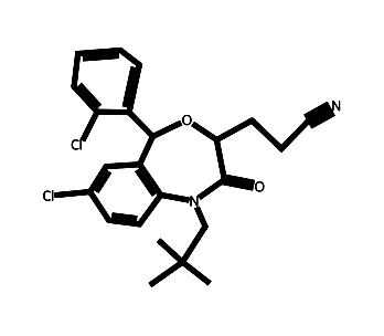 CC(C)(C)CN1C(=O)C(CCC#N)OC(c2ccccc2Cl)c2cc(Cl)ccc21